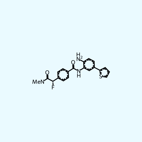 CNC(=O)[C@H](F)c1ccc(C(=O)Nc2cc(-c3cccs3)ccc2N)cc1